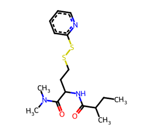 CCC(C)C(=O)NC(CCSSc1ccccn1)C(=O)N(C)C